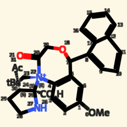 COc1ccc2c(c1)C(c1cccc3ccccc13)OCC(=O)[N@@+]2(CC(C)(C)C)[C@@]1(C(=O)O)NCC[C@@H]1C(C)=O